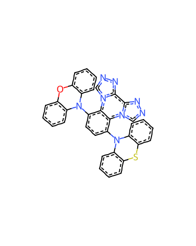 c1ccc2c(c1)Oc1ccccc1N2c1ccc(N2c3ccccc3Sc3ccccc32)c2c1n1cnnc1c1nncn12